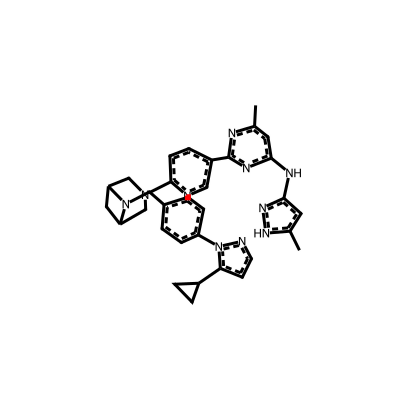 Cc1cc(Nc2cc(C)[nH]n2)nc(-c2ccc(N3CC4CC(C3)N4Cc3ccc(-n4nccc4C4CC4)cc3)nc2)n1